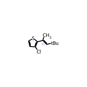 C/C(=C\C(C)(C)C)c1sccc1Cl